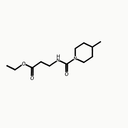 CCOC(=O)CCNC(=O)N1CCC(C)CC1